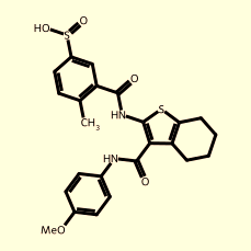 COc1ccc(NC(=O)c2c(NC(=O)c3cc(S(=O)O)ccc3C)sc3c2CCCC3)cc1